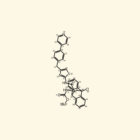 CC(C)(C)OC(=O)NC1(C(=O)Nc2nc(Cc3ccc(-c4ccncc4)cc3)cs2)CC2(Cl)c3ccccc3C1c1ccccc12